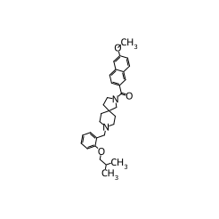 COc1ccc2cc(C(=O)N3CCC4(CCN(Cc5ccccc5OCC(C)C)CC4)C3)ccc2c1